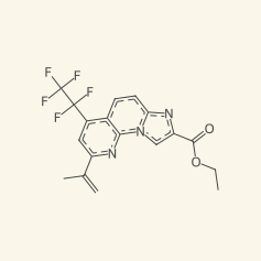 C=C(C)c1cc(C(F)(F)C(F)(F)F)c2ccc3nc(C(=O)OCC)cn3c2n1